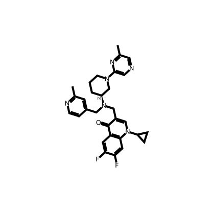 Cc1cc(CN(Cc2cn(C3CC3)c3cc(F)c(F)cc3c2=O)[C@H]2CCCN(c3cncc(C)n3)C2)ccn1